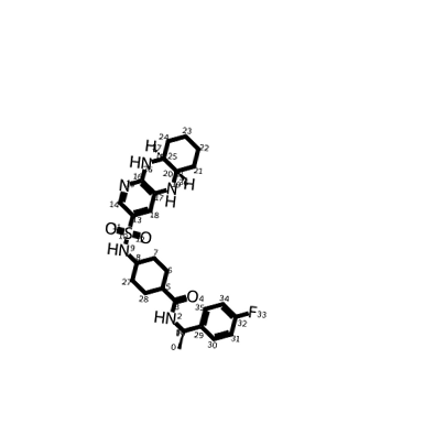 C[C@@H](NC(=O)C1CCC(NS(=O)(=O)c2cnc3c(c2)N[C@H]2CCCC[C@@H]2N3)CC1)c1ccc(F)cc1